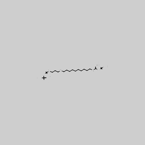 CC(C)(C)OC(O)NCCCCCCCCCCNCCCNC(C)(C)OC(C)(C)C